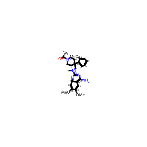 CCCC(=O)N1CCC(CN(C)c2nc(N)c3cc(OC)c(OC)cc3n2)(c2ccccc2OC)CC1